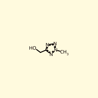 Cn1nnc(CO)n1